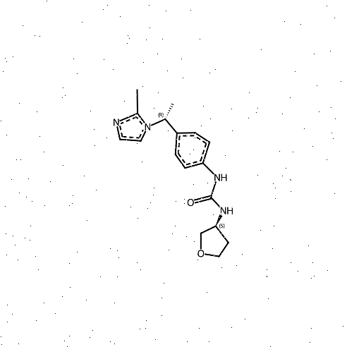 Cc1nccn1[C@H](C)c1ccc(NC(=O)N[C@H]2CCOC2)cc1